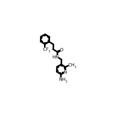 Cc1nc(N)ccc1CNC(=O)[CH]Cc1ccccc1C(F)(F)F